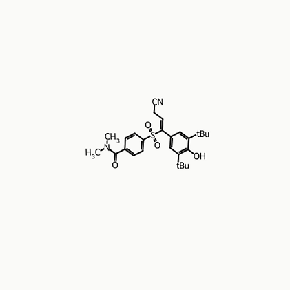 CN(C)C(=O)c1ccc(S(=O)(=O)/C(=C\CC#N)c2cc(C(C)(C)C)c(O)c(C(C)(C)C)c2)cc1